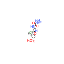 C[C@]1(Oc2ncc(NC(=O)C(=O)NN)cc2Cl)CC[C@H](C(=O)O)CC1